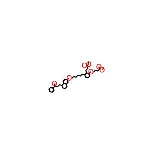 COC(=O)CCCOc1cccc(CCCCCCOc2ccc3c(c2)CCCC3CCC(=O)c2ccccc2)c1CCC(=O)OC